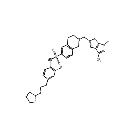 Cn1nc(C(F)(F)F)c2cc(CN3CCc4cc(S(=O)(=O)Nc5ccc(CCCC6CCCC6)cc5F)ccc4C3)sc21